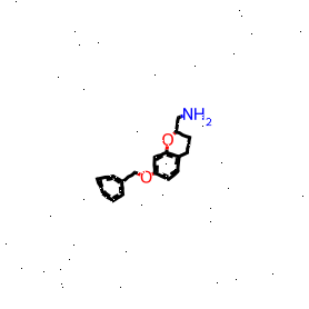 NCC1CCc2ccc(OCc3ccccc3)cc2O1